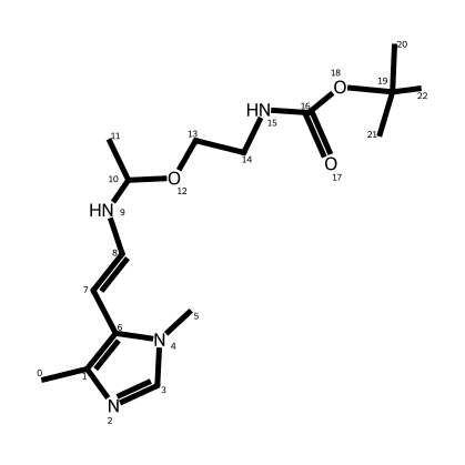 Cc1ncn(C)c1/C=C/NC(C)OCCNC(=O)OC(C)(C)C